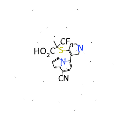 CC(Sc1ccncc1-c1ccc(C#N)c2cccn12)(C(=O)O)C(F)(F)F